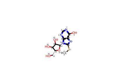 CSc1nc2c(O)ncnc2n1[C@@H]1O[C@H](CO)C(O)C1O